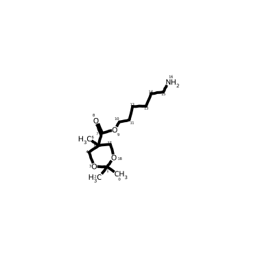 CC1(C)OCC(C)(C(=O)OCCCCCCN)CO1